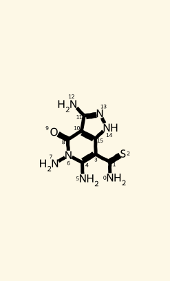 NC(=S)c1c(N)n(N)c(=O)c2c(N)n[nH]c12